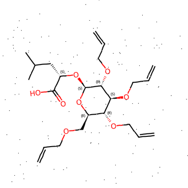 C=CCOC[C@H]1O[C@@H](O[C@@H](CC(C)C)C(=O)O)[C@H](OCC=C)[C@@H](OCC=C)[C@@H]1OCC=C